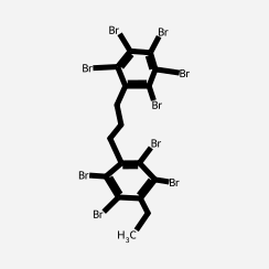 CCc1c(Br)c(Br)c(CCCc2c(Br)c(Br)c(Br)c(Br)c2Br)c(Br)c1Br